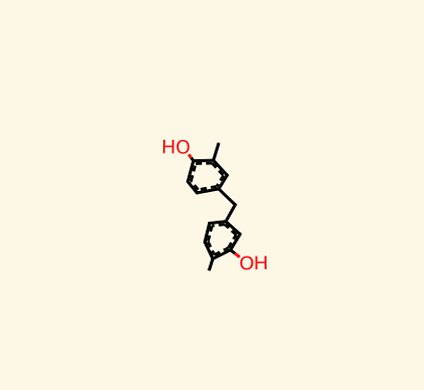 Cc1cc(Cc2ccc(C)c(O)c2)ccc1O